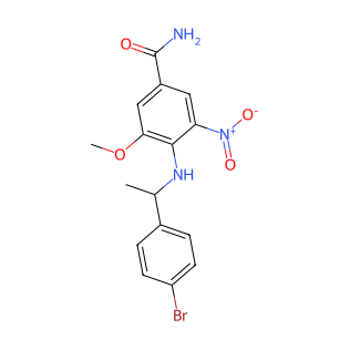 COc1cc(C(N)=O)cc([N+](=O)[O-])c1NC(C)c1ccc(Br)cc1